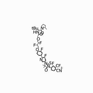 CC1CCCN1C(=O)C(NC(=O)COCC(F)C(F)COc1ccc(-c2ncc(N3C(=S)N(c4ccc(C#N)c(C(F)(F)F)c4F)C(=O)C3(C)C)cc2F)cc1F)C(C)(C)C